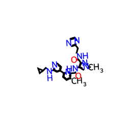 Cc1ccc(-c2ccnc(NCC3CC3)c2)nc1C(=O)Nc1cn(C)nc1C(=O)NCCc1cnccn1